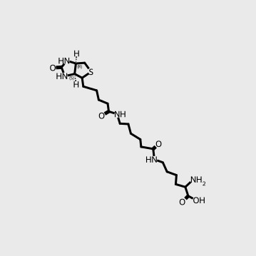 NC(CCCCNC(=O)CCCCCNC(=O)CCCCC1SC[C@@H]2NC(=O)N[C@H]12)C(=O)O